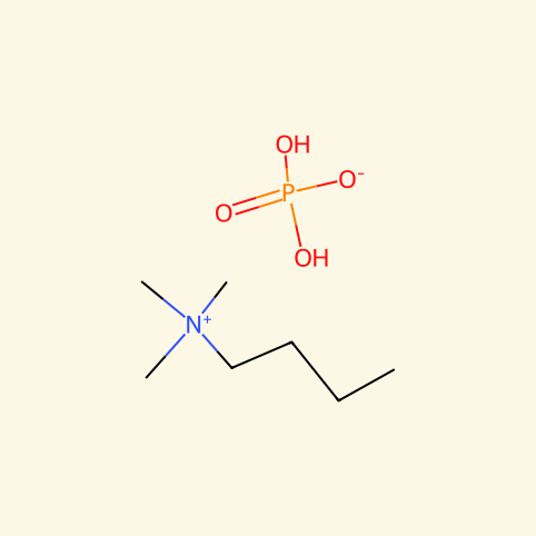 CCCC[N+](C)(C)C.O=P([O-])(O)O